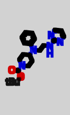 CC(C)(C)OC(=O)N1CCC(N(CCNc2ncccn2)c2ccccc2)CC1